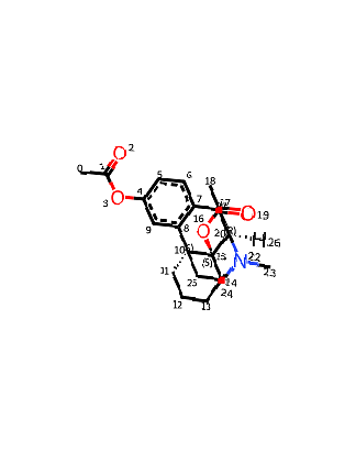 CC(=O)Oc1ccc2c(c1)[C@@]13CCCC[C@@]1(OC(C)=O)[C@@H](C2)N(C)CC3